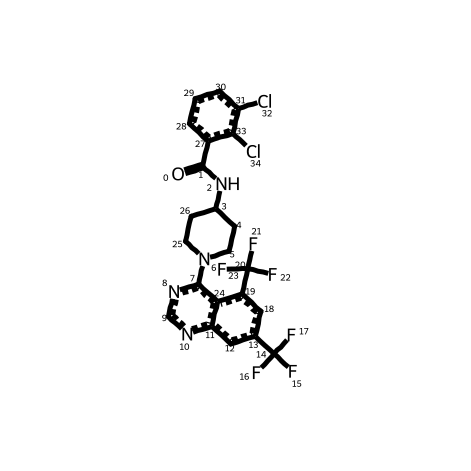 O=C(NC1CCN(c2ncnc3cc(C(F)(F)F)cc(C(F)(F)F)c23)CC1)c1cccc(Cl)c1Cl